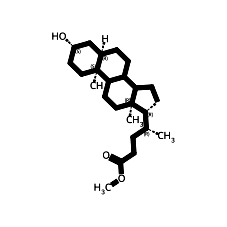 COC(=O)CC[C@@H](C)[C@H]1CCC2C3CC[C@@H]4C[C@@H](O)CC[C@]4(C)C3CC[C@@]21C